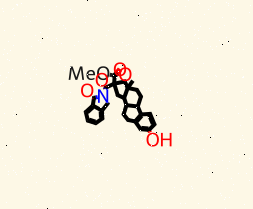 COC(=O)C1(C(=O)N2Cc3ccccc3C2=O)CC2C3CCc4cc(O)ccc4C3CCC2(C)C1=O